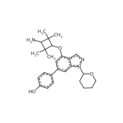 CC1(C)C(N)C(C)(C)C1Oc1cc(-c2ccc(O)cc2)cc2c1cnn2C1CCCCO1